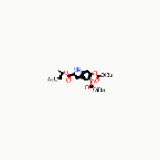 CC(=O)OC[C@@H](C)OC(=O)[C@@H](N)Cc1ccc(OC(=O)OCC(C)C)c(OC(=O)OCC(C)C)c1